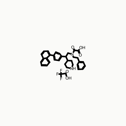 O=C(O)C(=O)N(CCc1ccccc1)CC(c1ccc(-c2cccc3ccccc23)cc1)C1CCNCC1.O=C(O)C(F)(F)F